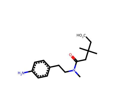 CN(CCc1ccc(N)cc1)C(=O)CC(C)(C)CC(=O)O